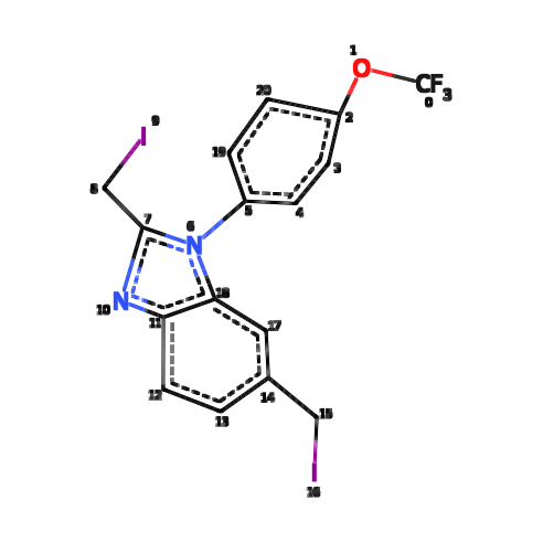 FC(F)(F)Oc1ccc(-n2c(CI)nc3ccc(CI)cc32)cc1